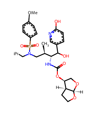 COc1ccc(S(=O)(=O)N(CC(C)C)C[C@@H](C)[C@@H](NC(=O)O[C@H]2CO[C@H]3OCC[C@H]32)C(O)c2ccc(O)nc2)cc1